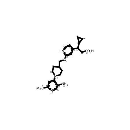 COc1cc(N2CCC(COc3cc(C(CC(=O)O)C4CC4)ccn3)CC2)c(N)cn1